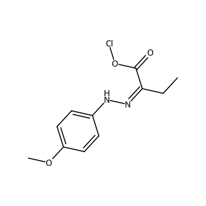 CC/C(=N/Nc1ccc(OC)cc1)C(=O)OCl